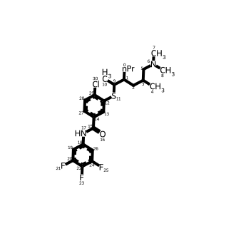 CCCC(CC(C)CN(C)C)C(C)Sc1cc(C(=O)Nc2cc(F)c(F)c(F)c2)ccc1Cl